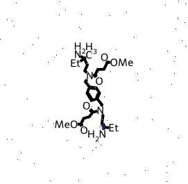 CC/C(N)=C\CN(Cc1ccc(CN(CCC(C)(N)CC)C(=O)CCC(=O)OC)cc1)C(=O)CCC(=O)OC